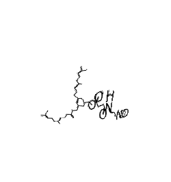 C=C(CC/C=C(\C)CCC=C(C)C)CCC1C=C(CC/C=C(\C)CCC=C(C)C)CC(COC(=O)CCC(=O)NCCCN2CCOCC2)C1